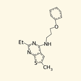 CCc1nc(NCCCOc2ccccc2)c2cc(C)sc2n1